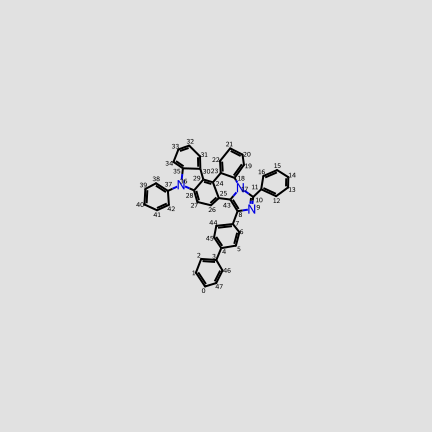 c1ccc(-c2ccc(-c3nc(-c4ccccc4)n4c5ccccc5c5c(ccc6c5c5ccccc5n6-c5ccccc5)c34)cc2)cc1